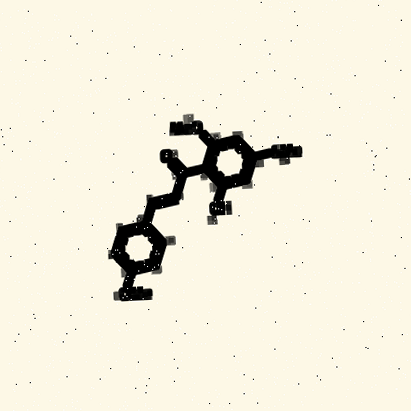 COc1ccc(C=CC(=O)c2c(O)cc(SC)cc2OC)cc1